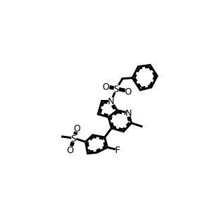 Cc1cc(-c2cc(S(C)(=O)=O)ccc2F)c2ccn(S(=O)(=O)Cc3ccccc3)c2n1